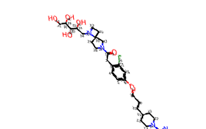 O=C(Cc1ccc(OCCCC2CCN(c3ncc(Cl)cn3)CC2)cc1F)N1CCC2(CCN2C[C@H](O)[C@H](O)[C@H](O)CO)C1